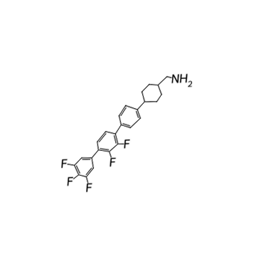 NCC1CCC(c2ccc(-c3ccc(-c4cc(F)c(F)c(F)c4)c(F)c3F)cc2)CC1